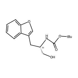 CC(C)(C)OC(=O)N[C@H](CO)Cc1coc2ccccc12